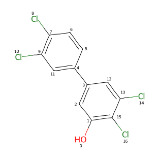 Oc1cc(-c2ccc(Cl)c(Cl)c2)cc(Cl)c1Cl